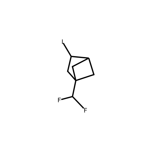 FC(F)C12CC(I)C(C1)C2